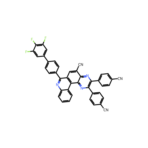 N#Cc1ccc(-c2nc3c(C#N)cc4c(-c5ccc(-c6cc(F)c(F)c(F)c6)cc5)nc5ccccc5c4c3nc2-c2ccc(C#N)cc2)cc1